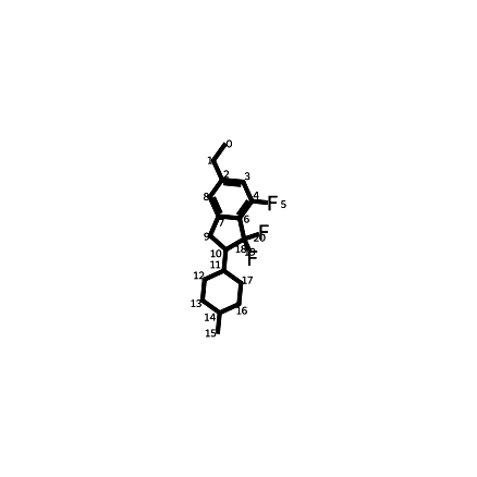 CCc1cc(F)c2c(c1)CC(C1CCC(C)CC1)C2(F)F